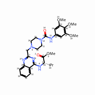 COC(=O)[C@@H](Nc1nc(CN2CCN(C(=O)Nc3cc(OC)c(OC)c(OC)c3)CC2)nc2ccccc12)C(C)C